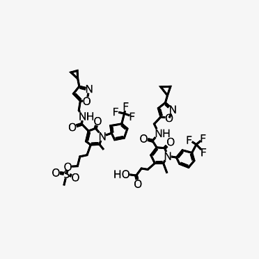 Cc1c(CCC(=O)O)cc(C(=O)NCc2cc(C3CC3)no2)c(=O)n1-c1cccc(C(F)(F)F)c1.Cc1c(CCCOS(C)(=O)=O)cc(C(=O)NCc2cc(C3CC3)no2)c(=O)n1-c1cccc(C(F)(F)F)c1